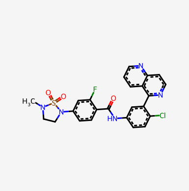 CN1CCN(c2ccc(C(=O)Nc3ccc(Cl)c(-c4nccc5ncccc45)c3)c(F)c2)S1(=O)=O